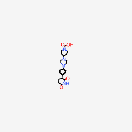 O=C1CC[C@@H](c2ccc(N3CCN(C4CCN(C(=O)O)CC4)CC3)cc2)C(=O)N1